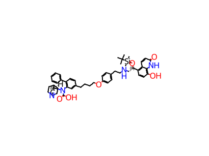 CC(C)(C)[Si](C)(C)O[C@@H](CNCCc1ccc(OCCCCc2ccc(-c3ccccc3)c(N(C(=O)O)[C@H]3CN4CCC3CC4)c2)cc1)c1ccc(O)c2[nH]c(=O)ccc12